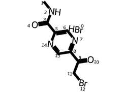 Br.CNC(=O)c1cnc(C(=O)CBr)cn1